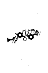 Cc1cc(F)c(C(=O)Nc2cccc3c2OCCn2cncc2-3)cc1-n1cnc(C2CC2)c1